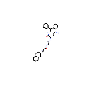 CN(CC(c1ccccc1)c1ccccc1)C(=O)[C@H](CCCN)NCCNC(=O)/C=C/c1ccc2ccccc2c1